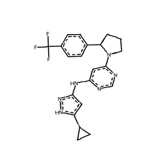 FC(F)(F)c1ccc(C2CCCN2c2cc(Nc3cc(C4CC4)[nH]n3)ncn2)cc1